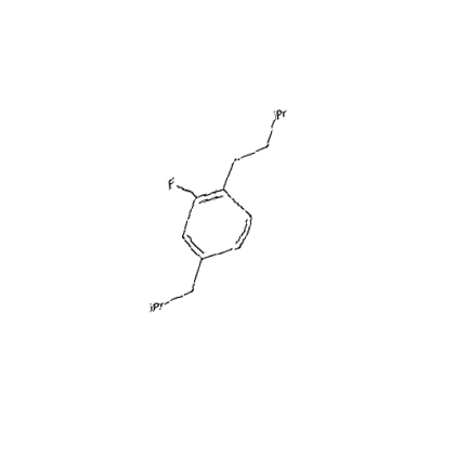 CC(C)CCc1ccc(CC(C)C)cc1F